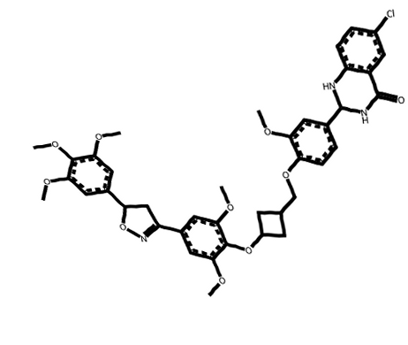 COc1cc(C2NC(=O)c3cc(Cl)ccc3N2)ccc1OCC1CC(Oc2c(OC)cc(C3=NOC(c4cc(OC)c(OC)c(OC)c4)C3)cc2OC)C1